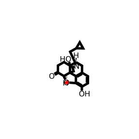 O=C1CCC2(O)[C@H]3Cc4ccc(O)c5c4C2(CCN3CC2CC2)[C@H]1O5